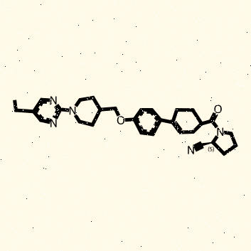 CCc1cnc(N2CCC(COc3ccc(C4=CCC(C(=O)N5CCC[C@H]5C#N)CC4)cc3)CC2)nc1